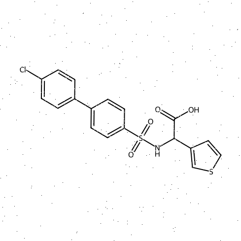 O=C(O)C(NS(=O)(=O)c1ccc(-c2ccc(Cl)cc2)cc1)c1ccsc1